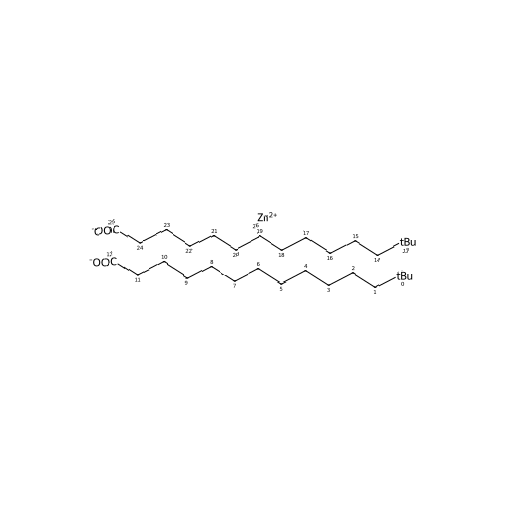 CC(C)(C)CCCCCCCCCCCC(=O)[O-].CC(C)(C)CCCCCCCCCCCC(=O)[O-].[Zn+2]